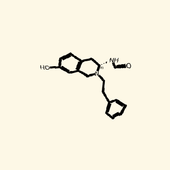 O=CN[C@H]1Cc2ccc(O)cc2CN1CCc1ccccc1